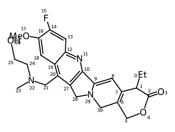 CCC1C(=O)OCC2=C1C=C1c3nc4cc(F)c(OC)cc4c(CN(C)CCO)c3CN1C2